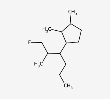 CCCC(C(C)CF)C1CCC(C)C1C